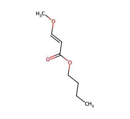 CCCCOC(=O)C=COC